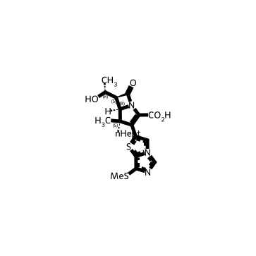 CCCCCCC[C@@]1(C)C(c2cn3cnc(SC)c3s2)=C(C(=O)O)N2C(=O)[C@H]([C@@H](C)O)[C@@H]21